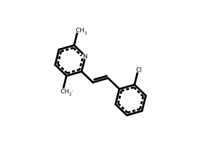 [CH2]c1ccc(C)nc1C=Cc1ccccc1Cl